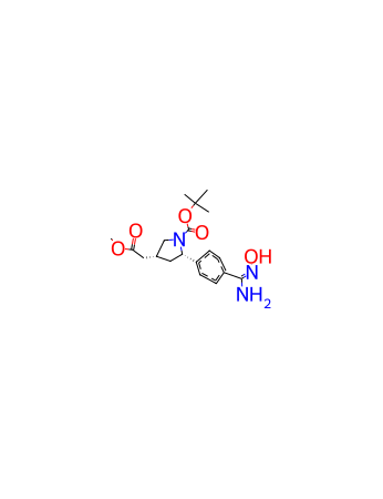 COC(=O)C[C@H]1C[C@@H](c2ccc(/C(N)=N\O)cc2)N(C(=O)OC(C)(C)C)C1